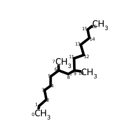 CCCCCCC(C)[C]C(C)CCCCCC